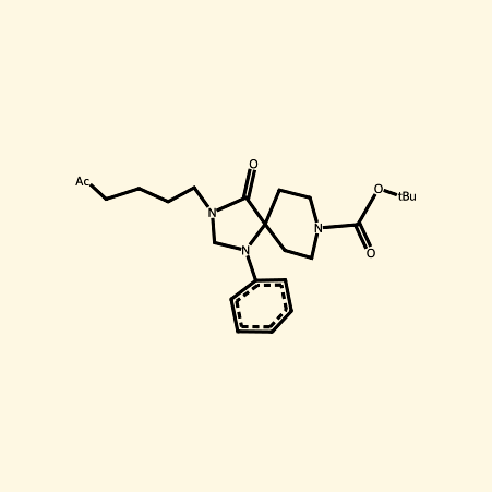 CC(=O)CCCCN1CN(c2ccccc2)C2(CCN(C(=O)OC(C)(C)C)CC2)C1=O